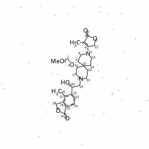 COCO[C@@H]1CN(C2=C(C)C(=O)OC2)CCC12CCN(C[C@H](O)c1ccc3c(c1C)COC3=O)CC2